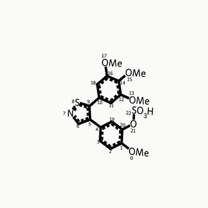 COc1ccc(-c2cnsc2-c2cc(OC)c(OC)c(OC)c2)cc1OS(=O)(=O)O